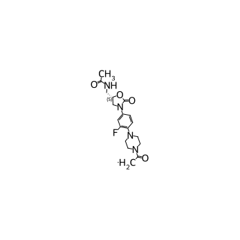 [CH2]C(=O)N1CCN(c2ccc(N3C[C@H](CNC(C)=O)OC3=O)cc2F)CC1